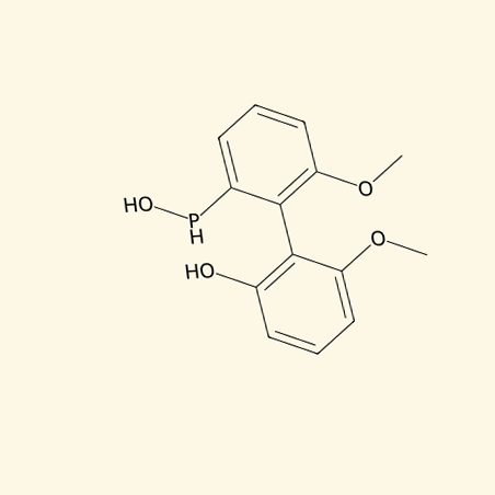 COc1cccc(O)c1-c1c(OC)cccc1PO